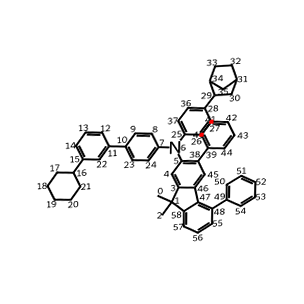 CC1(C)c2cc(N(c3ccc(-c4cccc(C5CCCCC5)c4)cc3)c3ccc(C4CC5CCC4C5)cc3)c(-c3ccccc3)cc2-c2c(-c3ccccc3)cccc21